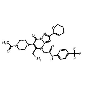 CCc1c(N2CCN(C(C)=O)CC2)c(=O)n2nc(C3=CCCCO3)nc2n1CC(=O)Nc1ccc(C(F)(F)F)cc1